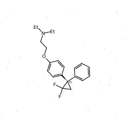 CCN(CC)CCOc1ccc([C@@]2(c3ccccc3)CC2(F)F)cc1